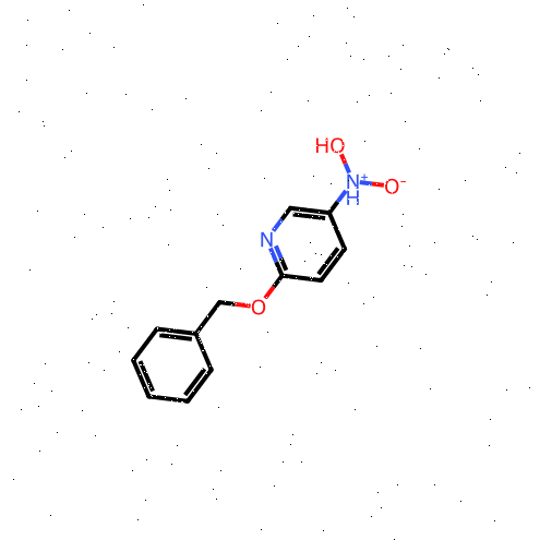 [O-][NH+](O)c1ccc(OCc2ccccc2)nc1